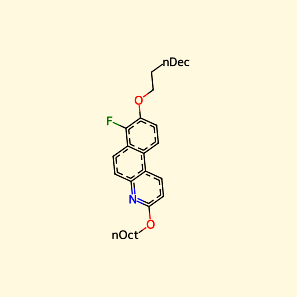 CCCCCCCCCCCCOc1ccc2c(ccc3nc(OCCCCCCCC)ccc32)c1F